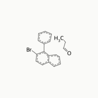 Brc1ccc2ccccc2c1-c1ccccc1.CCC=O